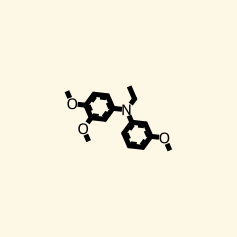 CCN(c1cccc(OC)c1)c1ccc(OC)c(OC)c1